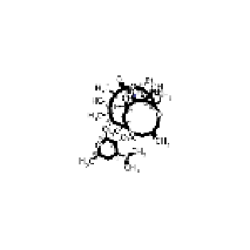 C=C1CO[C@@H]2[C@@H](C)/C(=N/O)[C@H](C)C[C@@](C)(OC1)[C@H](O[C@@H]1O[C@H](C)C[C@H](N(C)C)[C@H]1OC(C)=O)[C@@H](C)[C@H](O)[C@@H](C)C(=O)O[C@H](CC)[C@@]2(C)O